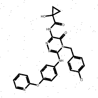 O=C(Nc1nnc(Nc2ccc(Oc3ccccn3)cc2)n(Cc2ccc(Cl)cc2)c1=O)C1(O)CC1